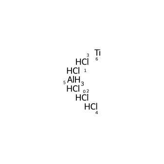 Cl.Cl.Cl.Cl.Cl.[AlH3].[Ti]